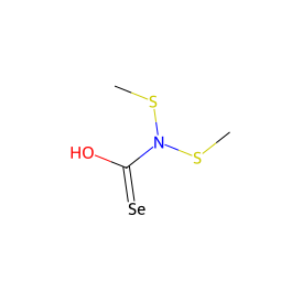 CSN(SC)C(O)=[Se]